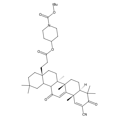 CC1(C)CC[C@]2(CCC(=O)OC3CCN(C(=O)OC(C)(C)C)CC3)CC[C@]3(C)C(C(=O)C=C4[C@@]5(C)C=C(C#N)C(=O)C(C)(C)[C@@H]5CC[C@]43C)C2C1